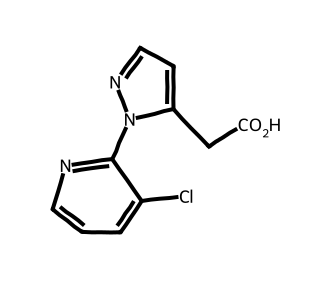 O=C(O)Cc1ccnn1-c1ncccc1Cl